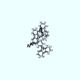 N#Cc1cc(-c2cccc(C#N)c2-n2c3ccc(C#N)cc3c3cccc(-n4c5ccccc5c5ccccc54)c32)cc(-n2c3ccccc3c3ccccc32)c1